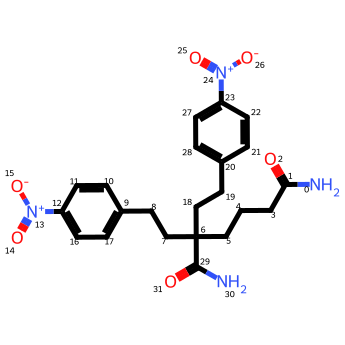 NC(=O)CCCC(CCc1ccc([N+](=O)[O-])cc1)(CCc1ccc([N+](=O)[O-])cc1)C(N)=O